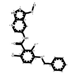 CCOc1n[nH]c2ncc(NC(=O)c3c(Cl)ccc(OCc4ccccc4)c3F)cc12